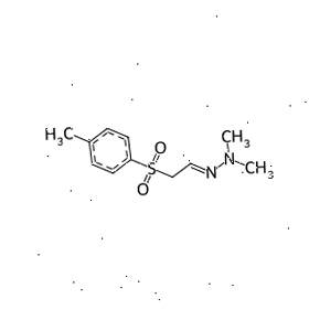 Cc1ccc(S(=O)(=O)CC=NN(C)C)cc1